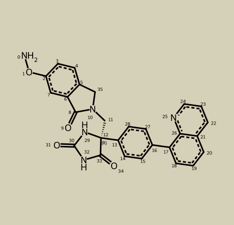 NOc1ccc2c(c1)C(=O)N(C[C@@]1(c3ccc(-c4cccc5cccnc45)cc3)NC(=O)NC1=O)C2